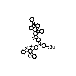 CC(C)(C)c1ccc(N(c2ccc3c(c2)C(C)(C)c2cc(-c4cccc5c4c4ccccc4n5-c4ccccc4)c4oc5ccccc5c4c2-3)c2ccc3c(c2)C(C)(C)c2c4c(c5oc6ccccc6c5c2-3)-c2ccccc2C4(C)C)cc1